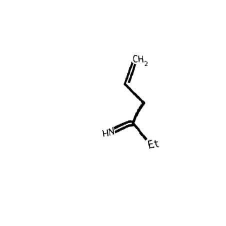 C=CCC(=N)CC